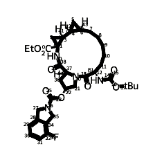 CCOC(=O)[C@@]12C[C@H]1[C@H]1C[C@H]1CCCCC[C@H](NC(=O)OC(C)(C)C)C(=O)N1C[C@H](OC(=O)N3Cc4cccc(F)c4C3)C[C@H]1C(=O)N2